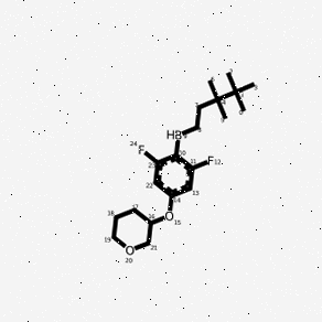 CC(C)(C)C(C)(C)CCBc1c(F)cc(OC2CCCOC2)cc1F